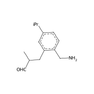 CC(C=O)Cc1cc(C(C)C)ccc1CN